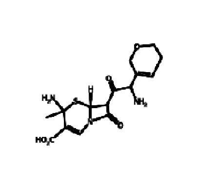 CC1(N)S[C@@H]2C(C(=O)C(N)C3=CCCOC3)C(=O)N2C=C1C(=O)O